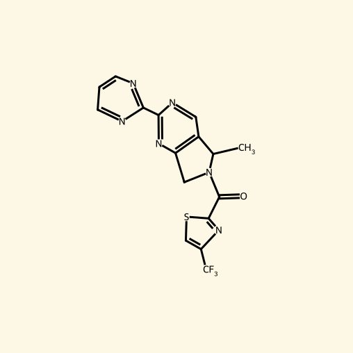 CC1c2cnc(-c3ncccn3)nc2CN1C(=O)c1nc(C(F)(F)F)cs1